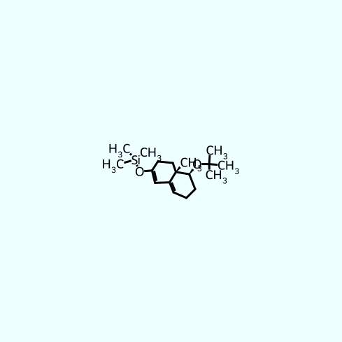 CC(C)(C)O[C@H]1CCC=C2C=C(O[Si](C)(C)C)CC[C@@]21C